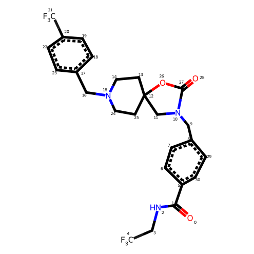 O=C(NCC(F)(F)F)c1ccc(CN2CC3(CCN(Cc4ccc(C(F)(F)F)cc4)CC3)OC2=O)cc1